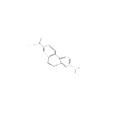 CC(C)c1ccc2c(c1)CCc1cc(C(C)C)ccc1-2